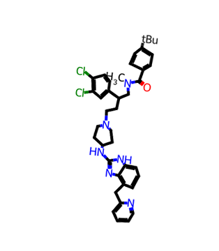 CN(CC(CCN1CCC(Nc2nc3c(Cc4ccccn4)cccc3[nH]2)CC1)c1ccc(Cl)c(Cl)c1)C(=O)c1ccc(C(C)(C)C)cc1